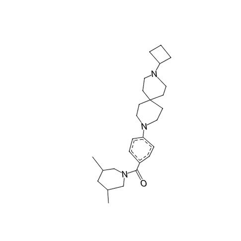 CC1CC(C)CN(C(=O)c2ccc(N3CCC4(CC3)CCN(C3CCC3)CC4)cc2)C1